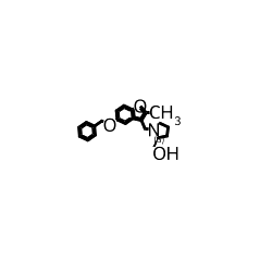 Cc1oc2ccc(OCc3ccccc3)cc2c1CN1CCC[C@H]1CO